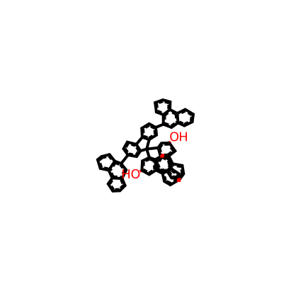 Oc1cc(C2(c3cc(O)cc4c3ccc3ccccc34)c3cc(-c4cc5ccccc5c5ccccc45)ccc3-c3ccc(-c4cc5ccccc5c5ccccc45)cc32)c2ccc3ccccc3c2c1